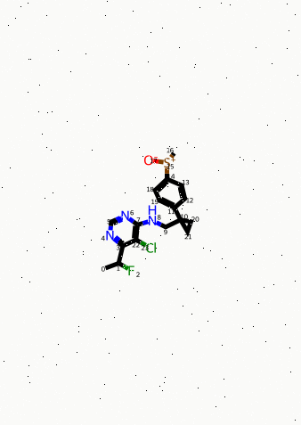 CC(F)c1ncnc(NCC2(c3ccc([S+](C)[O-])cc3)CC2)c1Cl